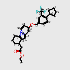 CCOC(=O)CC1CCCc2c1cc1cc(OCc3ccc(C4CCCC4)c(C(F)(F)F)c3)ccn21